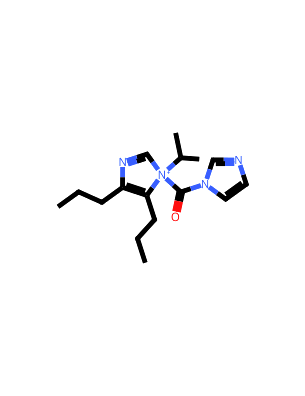 CCCC1=C(CCC)[N+](C(=O)n2ccnc2)(C(C)C)C=N1